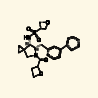 O=C(C1CCO1)N1CC2(CC2)[C@H](NS(=O)(=O)C2COC2)[C@@H]1Cc1cccc(-c2ccccc2)c1